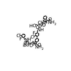 CCC(C)N(CC(=O)NCc1cccc(Cl)c1F)C(=O)Cn1nc(C(N)=O)c2ccc(-c3ccc(CNC(=O)CN(C(=O)Cn4nc(C(N)=O)c5ccccc54)C(C)CCO)c(F)c3Cl)cc21